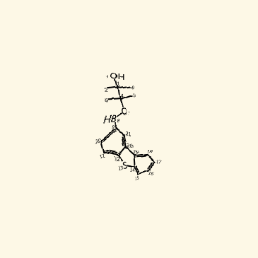 CC(C)(O)C(C)(C)OBc1ccc2sc3ccccc3c2c1